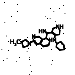 CC1CCN(c2cc3c(cn2)C(C(=N)C2=C(NC4CCCCC4)CCNC2)CC=C3)C1